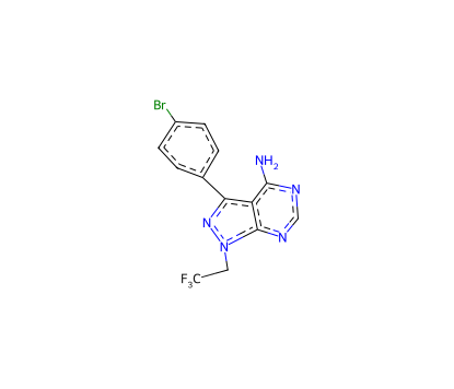 Nc1ncnc2c1c(-c1ccc(Br)cc1)nn2CC(F)(F)F